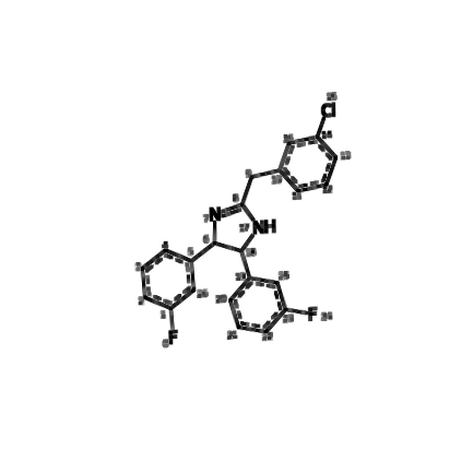 Fc1cccc(C2N=C(Cc3cccc(Cl)c3)NC2c2cccc(F)c2)c1